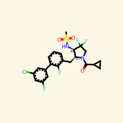 CS(=O)(=O)N[C@@H]1[C@H](Cc2cccc(-c3cc(F)cc(Cl)c3)c2F)N(C(=O)C2CC2)CC1(F)F